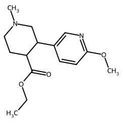 CCOC(=O)C1CCN(C)CC1c1ccc(OC)nc1